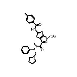 Cc1ccc(C(=O)Nc2nc3c(s2)c(C(=O)N(C)[C@H](CN2CCCC2)c2ccccc2)nn3C(C)(C)C)cc1